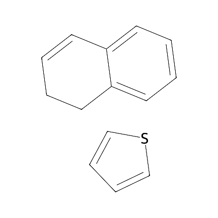 C1=Cc2ccccc2CC1.c1ccsc1